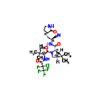 CC(C)(C)[C@H](NC(=O)C(F)(Cl)C(F)(F)F)C(=O)N1C[C@H]2[C@@H]([C@H]1C(=O)N[C@H](C#N)C[C@@H]1CCNC1=O)C2(C)C